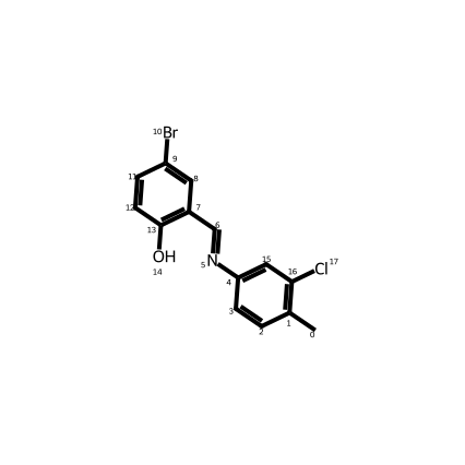 Cc1ccc(/N=C/c2cc(Br)ccc2O)cc1Cl